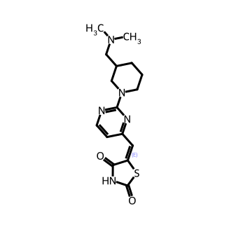 CN(C)CC1CCCN(c2nccc(/C=C3/SC(=O)NC3=O)n2)C1